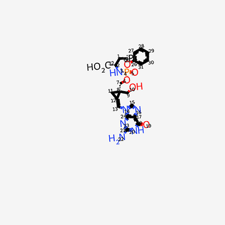 CC(C)C[C@H](N[P@](=O)(OC[C@@]1(CO)C/C1=C/n1cnc2c(=O)[nH]c(N)nc21)Oc1ccccc1)C(=O)O